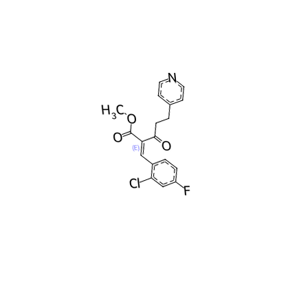 COC(=O)/C(=C/c1ccc(F)cc1Cl)C(=O)CCc1ccncc1